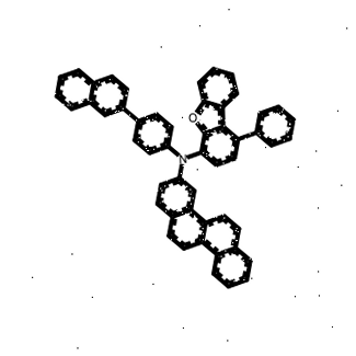 c1ccc(-c2ccc(N(c3ccc(-c4ccc5ccccc5c4)cc3)c3ccc4ccc5c6ccccc6ccc5c4c3)c3oc4ccccc4c23)cc1